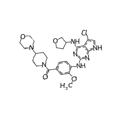 COc1cc(C(=O)N2CCC(N3CCOCC3)CC2)ccc1Nc1nc(NC2CCOC2)c2c(Cl)c[nH]c2n1